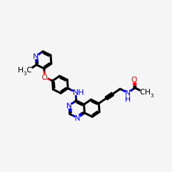 CC(=O)NCC#Cc1ccc2ncnc(Nc3ccc(Oc4cccnc4C)cc3)c2c1